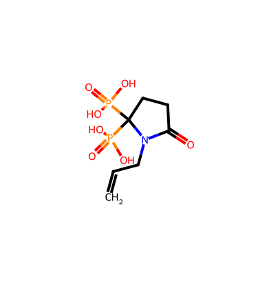 C=CCN1C(=O)CCC1(P(=O)(O)O)P(=O)(O)O